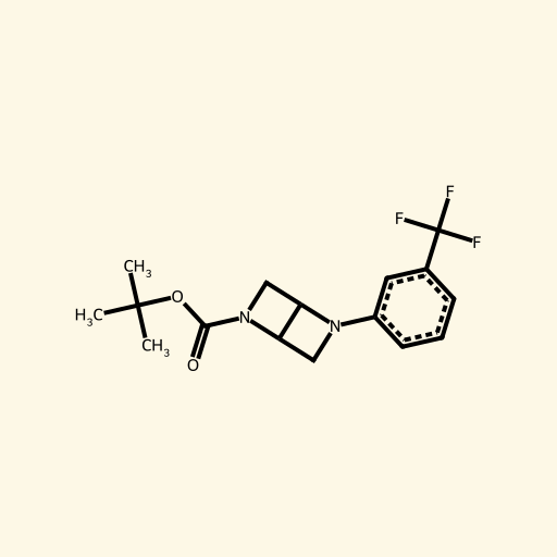 CC(C)(C)OC(=O)N1CC2C1CN2c1cccc(C(F)(F)F)c1